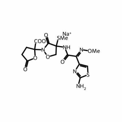 CON=C(C(=O)NC1(SC)CON(C2(C(=O)[O-])CCC(=O)O2)C1=O)c1csc(N)n1.[Na+]